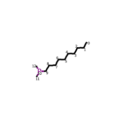 CCCCCCCCCCP(C)C